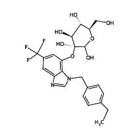 CCc1ccc(Cn2cnc3cc(C(F)(F)F)cc(O[C@]4(O)C(O)O[C@H](CO)[C@@H](O)[C@@H]4O)c32)cc1